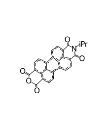 CC(C)N1C(=O)c2ccc3c4ccc5c6c(ccc(c7ccc(c2c37)C1=O)c64)C(=O)OC5=O